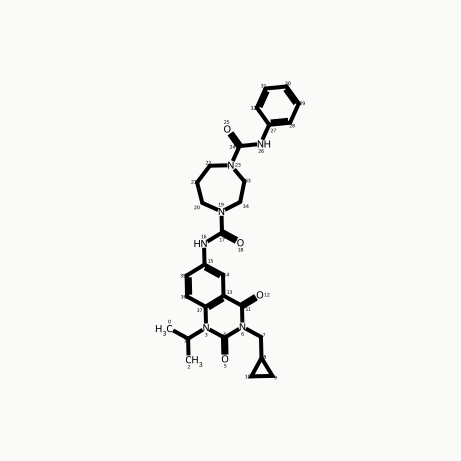 CC(C)n1c(=O)n(CC2CC2)c(=O)c2cc(NC(=O)N3CCCN(C(=O)Nc4ccccc4)CC3)ccc21